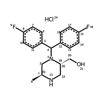 C[C@H]1CN(C(c2ccc(F)cc2)c2ccc(F)cc2)[C@H](CO)CN1.Cl